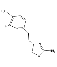 NC1=N[C@@H](CCc2ccc(C(F)(F)F)c(F)c2)CO1